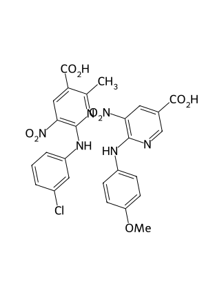 COc1ccc(Nc2ncc(C(=O)O)cc2[N+](=O)[O-])cc1.Cc1nc(Nc2cccc(Cl)c2)c([N+](=O)[O-])cc1C(=O)O